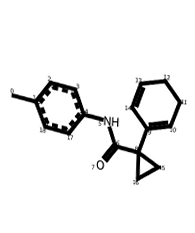 Cc1ccc(NC(=O)C2(C3=CCCC=C3)CC2)cc1